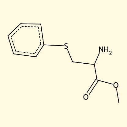 COC(=O)C(N)CSc1ccccc1